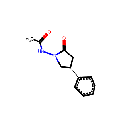 CC(=O)NN1C[C@@H](c2ccccc2)CC1=O